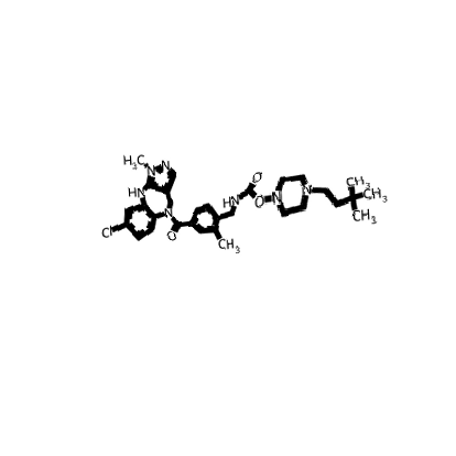 Cc1cc(C(=O)N2Cc3cnn(C)c3Nc3cc(Cl)ccc32)ccc1CNC(=O)ON1CCN(CCC(C)(C)C)CC1